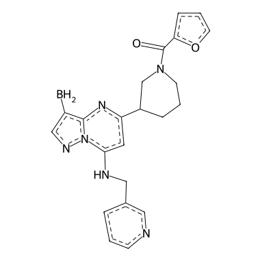 Bc1cnn2c(NCc3cccnc3)cc(C3CCCN(C(=O)c4ccco4)C3)nc12